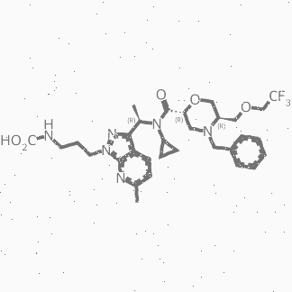 Cc1ccc2c([C@@H](C)N(C(=O)[C@H]3CN(Cc4ccccc4)[C@H](COCC(F)(F)F)CO3)C3CC3)nn(CCCNC(=O)O)c2n1